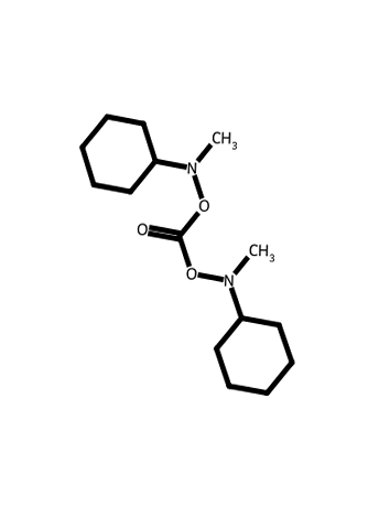 CN(OC(=O)ON(C)C1CCCCC1)C1CCCCC1